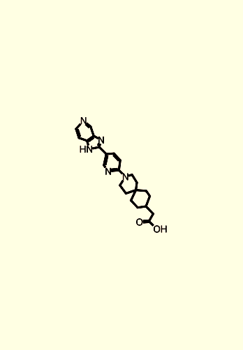 O=C(O)CC1CCC2(CC1)CCN(c1ccc(-c3nc4cnccc4[nH]3)cn1)CC2